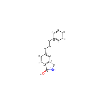 O=C1NCc2cc(CCCc3ccccc3)ccc21